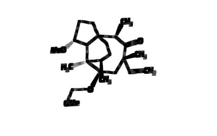 C=C[C@]1(C)C[C@@H](OCOC)[C@@]2(C)C3[C@H](OC)CCC3(CC[C@H]2C)[C@@H](C)C1=O